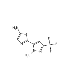 Cn1nc(C(F)(F)F)cc1-c1ncc(N)s1